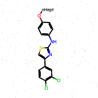 CCCCCCCOc1ccc(Nc2nc(-c3ccc(Cl)c(Cl)c3)cs2)cc1